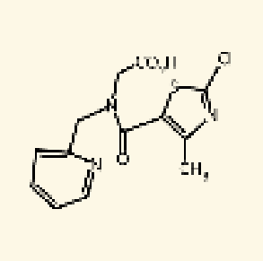 Cc1nc(Cl)sc1C(=O)N(CC(=O)O)Cc1ccccn1